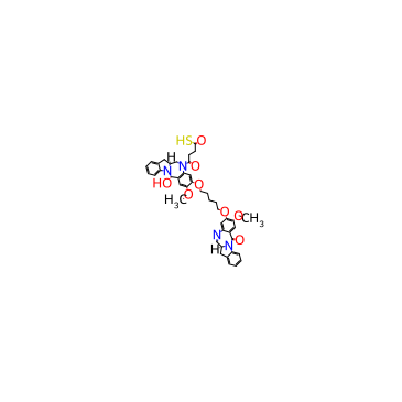 COc1cc2c(cc1OCCCCCOc1cc3c(cc1OC)C(O)N1c4ccccc4C[C@H]1CN3C(=O)CCC(=O)S)N=C[C@@H]1Cc3ccccc3N1C2=O